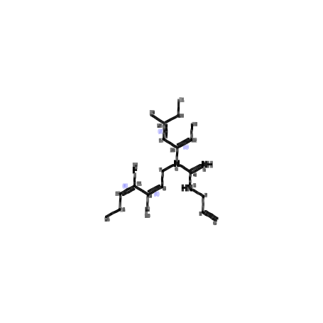 C=CCNC(=N)N(C/C=C(F)\C(F)=C/CC)C(/C=C(/C)CC)=C/C